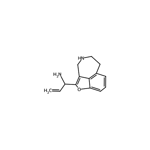 C=CC(N)c1oc2cccc3c2c1CNCC3